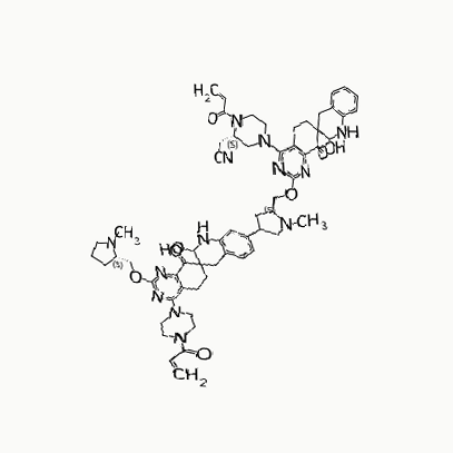 C=CC(=O)N1CCN(c2nc(OC[C@@H]3CCCN3C)nc3c2CCC2(Cc4ccc(C5C[C@@H](COc6nc7c(c(N8CCN(C(=O)C=C)[C@@H](CC#N)C8)n6)CCC6(Cc8ccccc8NC6O)C7=O)N(C)C5)cc4NC2O)C3=O)CC1